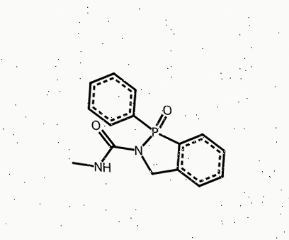 CNC(=O)N1Cc2ccccc2P1(=O)c1ccccc1